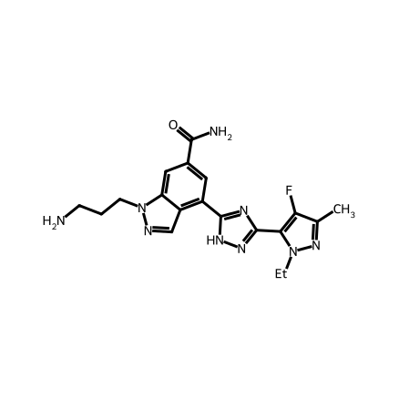 CCn1nc(C)c(F)c1-c1n[nH]c(-c2cc(C(N)=O)cc3c2cnn3CCCN)n1